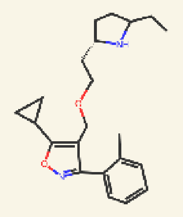 CCC1CC[C@@H](CCOCc2c(-c3ccccc3C)noc2C2CC2)N1